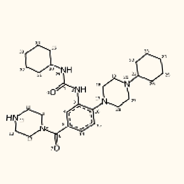 O=C(Nc1cc(C(=O)N2CCNCC2)ccc1N1CCN(C2CCCCC2)CC1)NC1CCCCC1